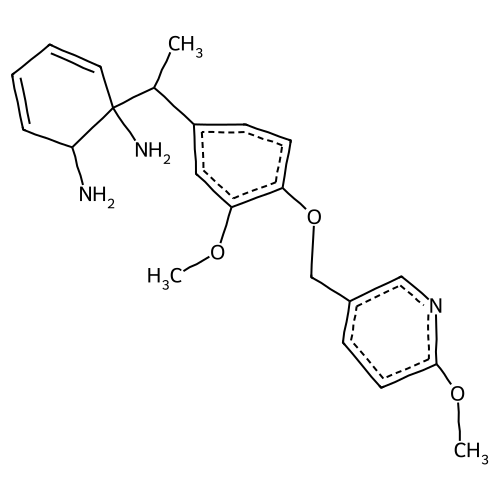 COc1ccc(COc2ccc(C(C)C3(N)C=CC=CC3N)cc2OC)cn1